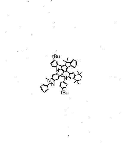 Cn1c(-c2ccccc2)nc2cc3c(cc21)-n1c2ccc(C(C)(C)C)cc2c2c4c(c5c(c21)B3N(c1ccc(C(C)(C)C)cc1)c1cc2c(cc1-5)C(C)(C)CCC2(C)C)-c1ccccc1C4(C)C